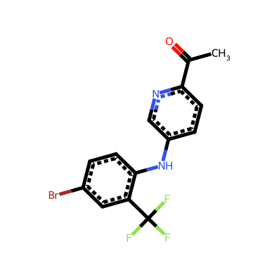 CC(=O)c1ccc(Nc2ccc(Br)cc2C(F)(F)F)cn1